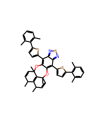 Cc1cccc(C)c1-c1ccc(-c2c3c(c(-c4ccc(-c5c(C)cccc5C)s4)c4nsnc24)OC2(C)C=CC(C)C4=C2C(C)(C=CC4C)O3)s1